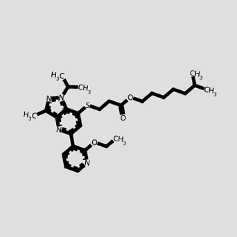 CCOc1ncccc1-c1cc(SCCC(=O)OCCCCCC(C)C)c2c(n1)c(C)nn2C(C)C